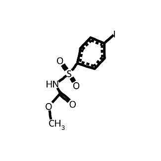 COC(=O)NS(=O)(=O)c1ccc(I)cc1